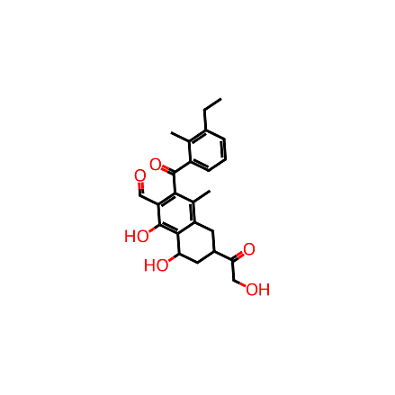 CCc1cccc(C(=O)c2c(C)c3c(c(O)c2C=O)C(O)CC(C(=O)CO)C3)c1C